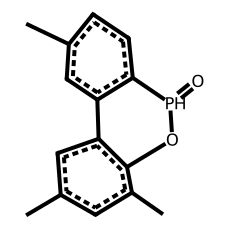 Cc1ccc2c(c1)-c1cc(C)cc(C)c1O[PH]2=O